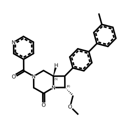 COC[C@H]1C(c2ccc(-c3cccc(C)c3)cc2)[C@H]2CN(C(=O)c3cccnc3)CC(=O)N21